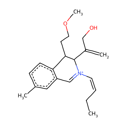 C=C(CO)C1C(CCOC)c2ccc(C)cc2C=[N+]1/C=C\CC